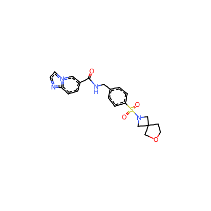 O=C(NCc1ccc(S(=O)(=O)N2CC3(CCOC3)C2)cc1)c1ccc2nccn2c1